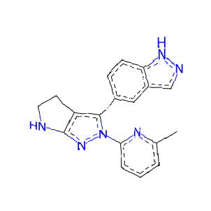 Cc1cccc(-n2nc3c(c2-c2ccc4[nH]ncc4c2)CCN3)n1